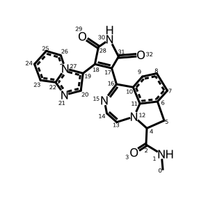 CNC(=O)C1Cc2cccc3c2N1C=CN=C3C1=C(c2cnc3ccccn23)C(=O)NC1=O